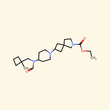 CCOC(=O)N1CCC2(CC(N3CCC(N(C=O)CC4(C)CCC4)CC3)C2)C1